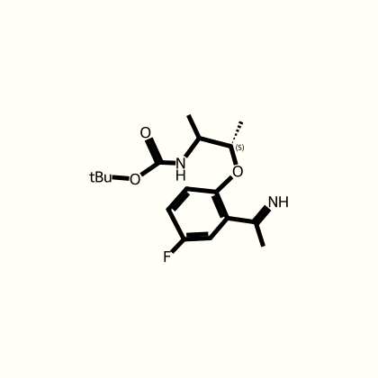 CC(=N)c1cc(F)ccc1O[C@@H](C)C(C)NC(=O)OC(C)(C)C